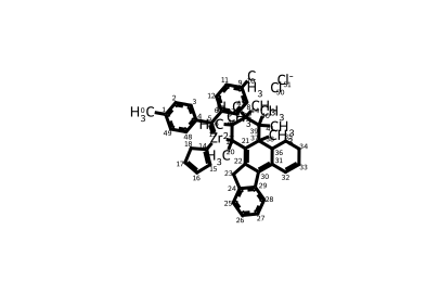 Cc1ccc([C](c2ccc(C)cc2)=[Zr+2]([C]2=CC=CC2)[C]2(C)C3=C4Cc5ccccc5C4=C4C=CCCC4C3(C)C(C)(C)C(C)(C)C2(C)C)cc1.[Cl-].[Cl-]